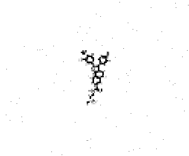 C[S+]([O-])CCNC(=O)c1ccc2c(c1)CCC1C2=NN(c2ccc(C#N)c(Cl)c2)C1c1ccc(F)cc1